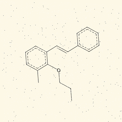 CCCOc1c(C)cccc1C=Cc1ccccc1